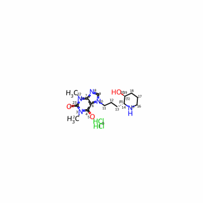 Cl.Cl.Cn1c(=O)c2c(ncn2CCC[C@H]2NCCC[C@@H]2O)n(C)c1=O